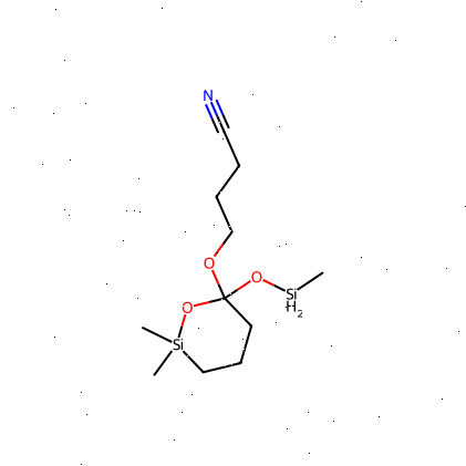 C[SiH2]OC1(OCCCC#N)CCC[Si](C)(C)O1